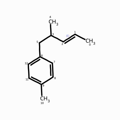 C/C=C/C(C)Cc1ccc(C)cc1